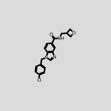 O=C(NCC1COC1)c1ccc2c(c1)ncn2Cc1ccc(Cl)cc1